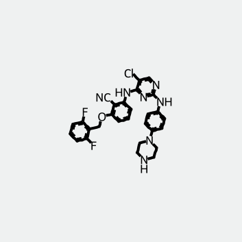 N#Cc1c(Nc2nc(Nc3ccc(N4CCNCC4)cc3)ncc2Cl)cccc1OCc1c(F)cccc1F